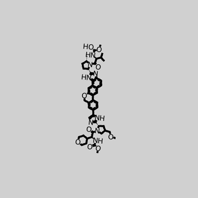 COCC1C[C@@H](c2ncc(-c3ccc4c(c3)COc3cc5c(ccc6nc([C@@H]7CC[C@H](C)N7C(=O)[C@@H](NC(O)OC)C(C)C)[nH]c65)cc3-4)[nH]2)N(C(=O)[C@@H](NC(=O)OC)C2CCOCC2)C1